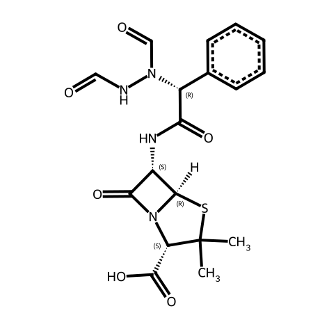 CC1(C)S[C@@H]2[C@@H](NC(=O)[C@@H](c3ccccc3)N(C=O)NC=O)C(=O)N2[C@H]1C(=O)O